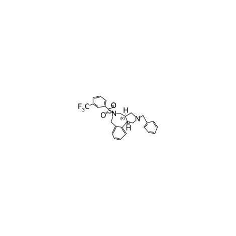 O=S(=O)(c1cccc(C(F)(F)F)c1)N1Cc2ccccc2[C@H]2CN(Cc3ccccc3)C[C@@H]2C1